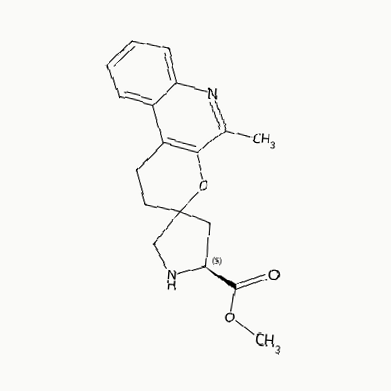 COC(=O)[C@@H]1CC2(CCc3c(c(C)nc4ccccc34)O2)CN1